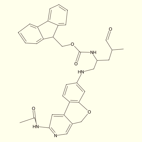 CC(=O)Nc1cc2c(cn1)COc1cc(NCC(CC(C)C=O)NC(=O)OCC3c4ccccc4-c4ccccc43)ccc1-2